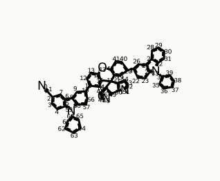 N#Cc1ccc2c(c1)c1cc(-c3ccc4c(c3)C3(c5cc(-c6ccc7c(c6)c6ccccc6n7-c6ccccc6)ccc5O4)c4cccnc4-c4ncccc43)ccc1n2-c1ccccc1